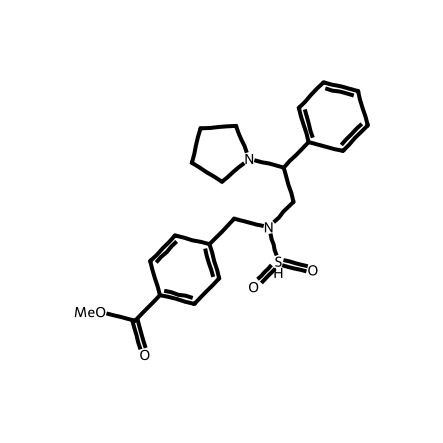 COC(=O)c1ccc(CN(CC(c2ccccc2)N2CCCC2)[SH](=O)=O)cc1